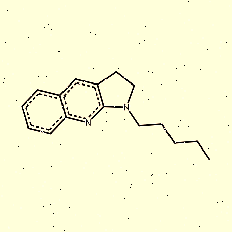 CCCCCN1CCc2cc3ccccc3nc21